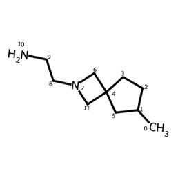 CC1CCC2(C1)CN(CCN)C2